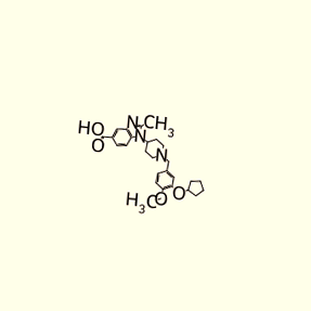 COc1ccc(CN2CCC(n3c(C)nc4cc(C(=O)O)ccc43)CC2)cc1OC1CCCC1